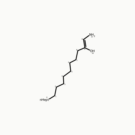 CCCCCCCCCCCCCCC/C(O)=C/N